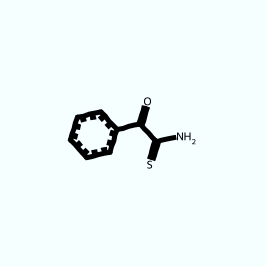 NC(=S)C(=O)c1ccccc1